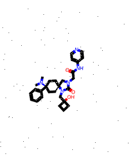 CN(C)[C@]1(c2ccccc2)CC[C@@]2(CC1)CN(CC(=O)Nc1ccncc1)C(=O)N2CC1(O)CCC1